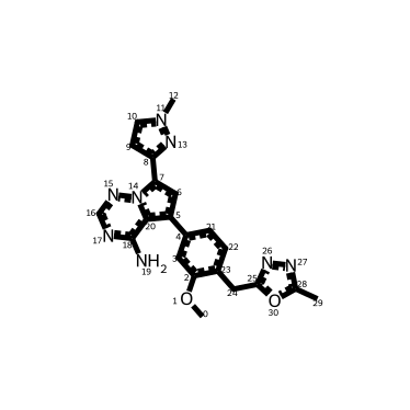 COc1cc(-c2cc(-c3ccn(C)n3)n3ncnc(N)c23)ccc1Cc1nnc(C)o1